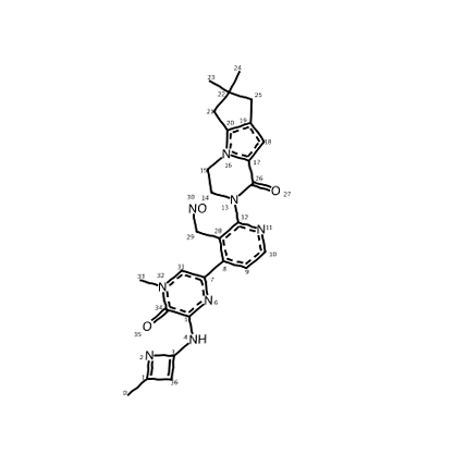 CC1=NC(Nc2nc(-c3ccnc(N4CCn5c(cc6c5CC(C)(C)C6)C4=O)c3CN=O)cn(C)c2=O)=C1